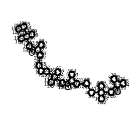 c1cc(-c2cccc(-c3c4ccccc4c(-c4ccc5oc6c7ccccc7c7ccccc7c6c5c4)c4ccccc34)c2)cc(-c2ccc3c(c2)c2ccccc2c2c4cc(-c5c6ccccc6c(-c6ccc7c(ccc8ccc(-c9ccc%10c%11ccccc%11c%11c%12cc(-c%13c%14ccccc%14c(-c%14cccc%15ccccc%14%15)c%14ccccc%13%14)ccc%12oc%11c%10c9)cc87)c6)c6ccccc56)ccc4oc32)c1